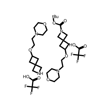 C1CN(CCOC2CC3(CNC3)C2)CCO1.CC(C)(C)OC(=O)N1CC2(CC(OCCN3CCOCC3)C2)C1.O=C(O)C(F)(F)F.O=C(O)C(F)(F)F